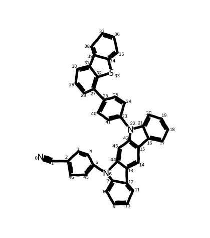 N#Cc1ccc(-n2c3ccccc3c3cc4c5ccccc5n(-c5ccc(-c6cccc7c6sc6ccccc67)cc5)c4cc32)cc1